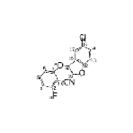 N#Cc1c(F)cccc1OC1COc2ccc(Cl)cc21